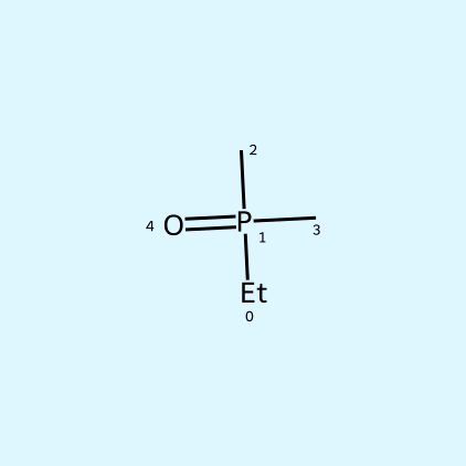 CCP(C)(C)=O